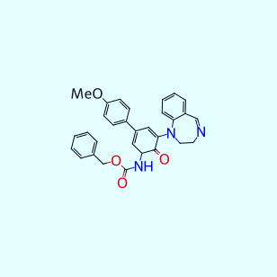 COc1ccc(C2=CC(NC(=O)OCc3ccccc3)C(=O)C(N3CCN=Cc4ccccc43)=C2)cc1